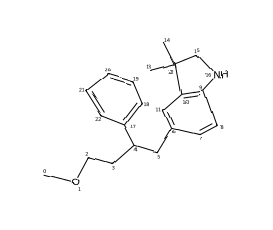 COCCC(Cc1ccc2c(c1)C(C)(C)CN2)c1ccccc1